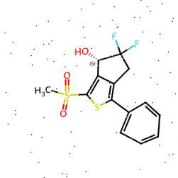 CS(=O)(=O)c1sc(-c2ccccc2)c2c1[C@H](O)C(F)(F)C2